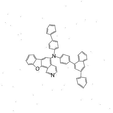 c1ccc(-c2ccc(N(c3ccc(-c4cc(-c5ccccc5)cc5ccccc45)cc3)c3cc4c5ccccc5oc4c4cnccc34)cc2)cc1